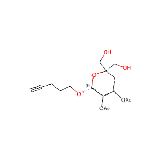 C#CCCCO[C@@H]1OC(CO)(CO)CC(OC(C)=O)C1OC(C)=O